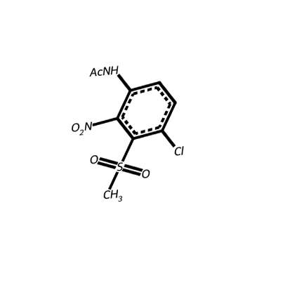 CC(=O)Nc1ccc(Cl)c(S(C)(=O)=O)c1[N+](=O)[O-]